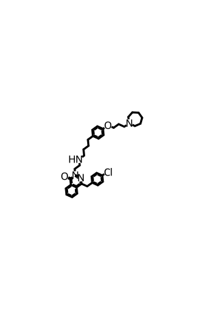 O=c1c2ccccc2c(Cc2ccc(Cl)cc2)nn1CCNCCCCc1ccc(OCCCN2CCCCCC2)cc1